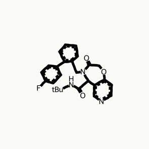 CC(C)(C)NC(=O)C1c2cnccc2OCC(=O)N1Cc1ccccc1-c1ccc(F)cc1